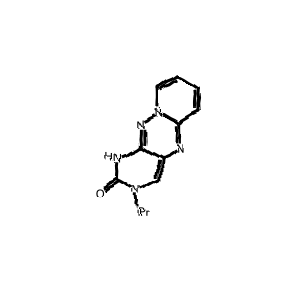 CC(C)N1C=C2N=C3C=CC=CN3N=C2NC1=O